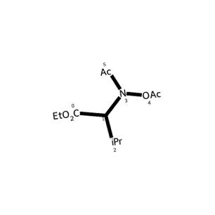 CCOC(=O)C(C(C)C)N(OC(C)=O)C(C)=O